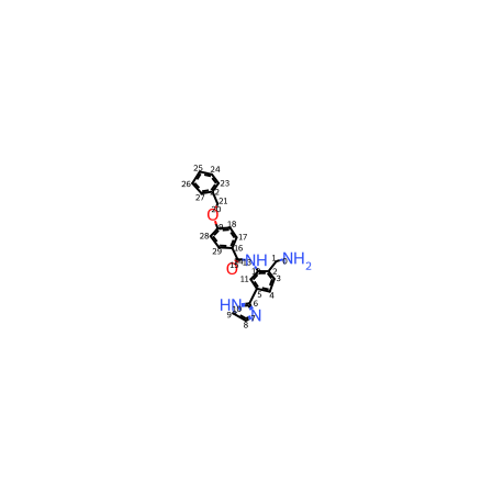 NCc1ccc(-c2ncc[nH]2)cc1NC(=O)c1ccc(OCc2ccccc2)cc1